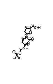 CC(C)(C)C(=O)OCNc1ccn([C@H]2CC[C@@H](CO)O2)c(=O)n1